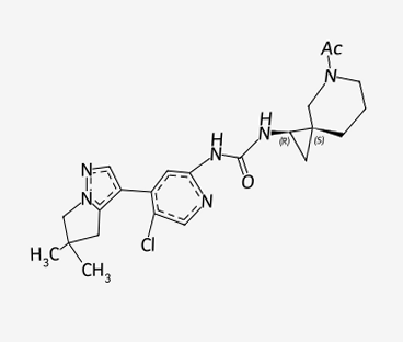 CC(=O)N1CCC[C@]2(C[C@H]2NC(=O)Nc2cc(-c3cnn4c3CC(C)(C)C4)c(Cl)cn2)C1